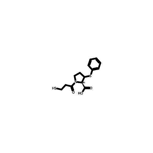 O=C(O)[C@@H]1C(Sc2ccccc2)CCN1C(=O)CCS